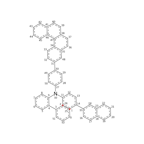 c1ccc(-c2ccccc2N(c2ccc(-c3ccc4ccccc4c3)cc2)c2ccc(-c3ccc4c(ccc5ccc6ccccc6c54)c3)cc2)cc1